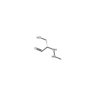 CNN[C@H](C=O)CO